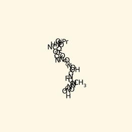 CC(C)S(=O)(=O)Nc1ccc(F)c(Oc2ccc3ncn([C@H]4COC5(CCN(C(=O)CC6(O)CCN(c7cc8c(cc7F)c(N7CCC(=O)NC7=O)nn8C)CC6)CC5)C4)c(=O)c3c2)c1C#N